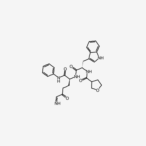 N=CC(=O)CC[C@H](NC(=O)[C@H](Cc1c[nH]c2ccccc12)NC(=O)C1CCOC1)C(=O)Nc1ccccc1